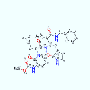 CC(=O)OC(C(=O)NCc1ccccc1)[C@H](C[C@@H]1CCNC1=O)NC(=O)C(CC1CC1)n1cccc(NC(=O)OC(C)(C)C)c1=O